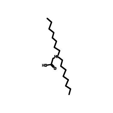 CCCCCCCC[SH](CCCCCCCC)CC(=O)O